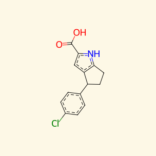 O=C(O)c1cc2c([nH]1)CCC2c1ccc(Cl)cc1